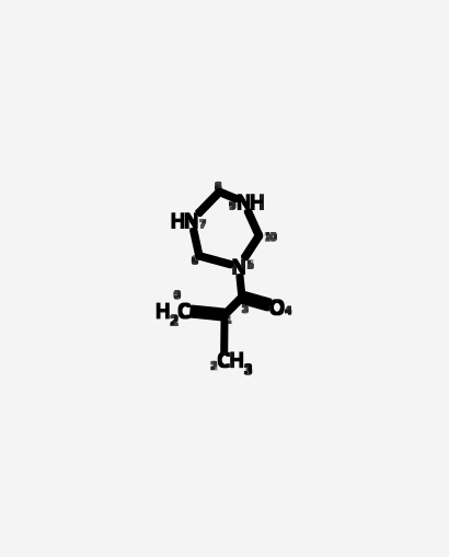 C=C(C)C(=O)N1CNCNC1